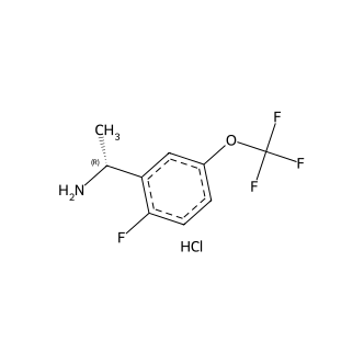 C[C@@H](N)c1cc(OC(F)(F)F)ccc1F.Cl